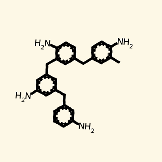 Cc1cc(Cc2ccc(N)c(Cc3cc(N)cc(Cc4cccc(N)c4)c3)c2)ccc1N